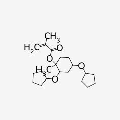 C=C(C)C(=O)OC1(C)CCC(OC2CCCC2)CC1OC1CCCC1